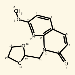 COc1ccc2ccc(=O)n(CC3OCCO3)c2n1